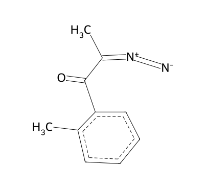 CC(=[N+]=[N-])C(=O)c1ccccc1C